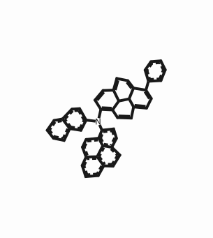 C1=CC2=C(N(c3ccc4ccccc4c3)c3ccc4ccc5cccc6ccc3c4c56)C=CC3=CC=C4C(c5ccccc5)=CC=C1C4C32